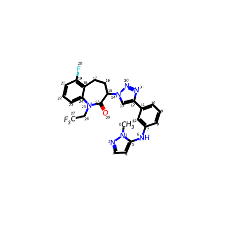 Cn1nccc1Nc1cccc(-c2cn(C3CCc4c(F)cccc4N(CC(F)(F)F)C3=O)nn2)c1